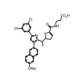 COc1ccc2cc(-c3cc(-c4cc(Cl)cc(Cl)c4)nn3C(C)C3CC=C(C(=O)NCCC(=O)O)S3)ccc2c1